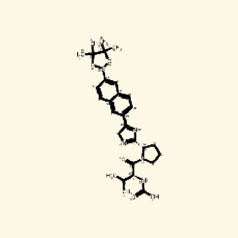 CC(C)[C@H](NC(=O)O)C(=O)N1CCC[C@H]1C1=NCC(c2ccc3cc(B4OC(C)(C)C(C)(C)O4)ccc3c2)=N1